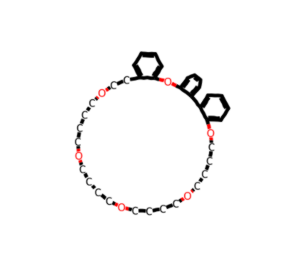 c1ccc2c(c1)CCOCCCCOCCCCOCCCCOCCCCOc1ccccc1-c1ccccc1O2